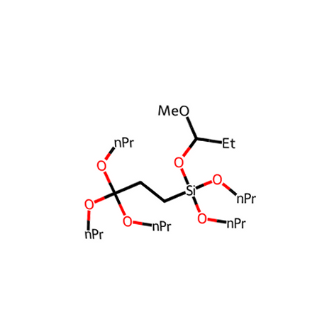 CCCOC(CC[Si](OCCC)(OCCC)OC(CC)OC)(OCCC)OCCC